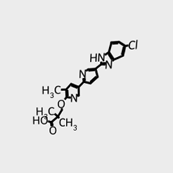 Cc1cc(-c2ccc(-c3nc4cc(Cl)ccc4[nH]3)cn2)cnc1OCC(C)(C)C(=O)O